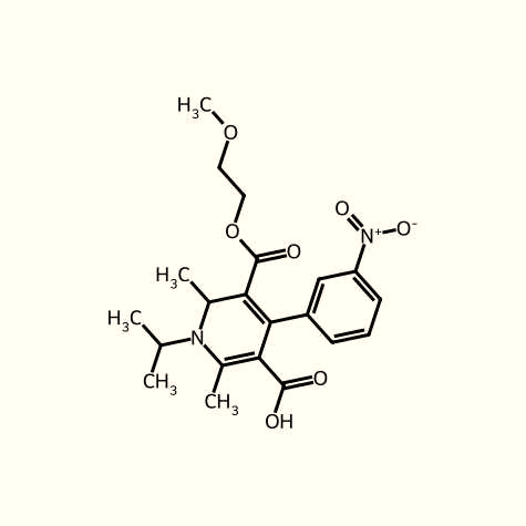 COCCOC(=O)C1=C(c2cccc([N+](=O)[O-])c2)C(C(=O)O)=C(C)N(C(C)C)C1C